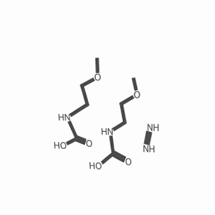 COCCNC(=O)O.COCCNC(=O)O.N=N